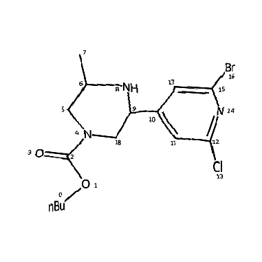 CCCCOC(=O)N1CC(C)NC(c2cc(Cl)nc(Br)c2)C1